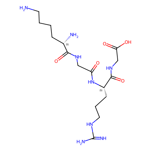 N=C(N)NCCC[C@H](NC(=O)CNC(=O)[C@@H](N)CCCCN)C(=O)NCC(=O)O